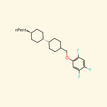 CCCCC[C@H]1CC[C@H](C2CCC(COc3cc(F)c(F)cc3F)CC2)CC1